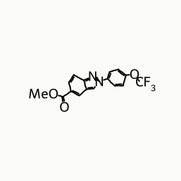 COC(=O)c1ccc2nn(-c3ccc(OC(F)(F)F)cc3)cc2c1